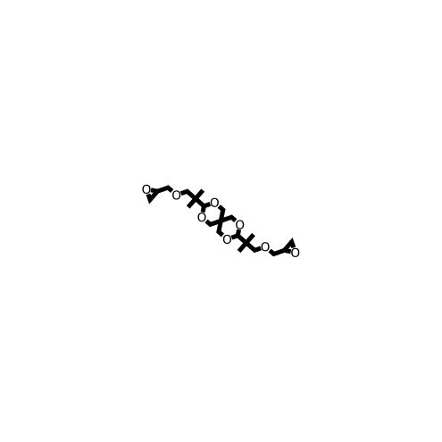 CC(C)(COCC1CO1)C1OCC2(CO1)COC(C(C)(C)COCC1CO1)OC2